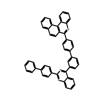 c1ccc(-c2ccc(-c3nc(-c4cccc(-c5ccc(-c6nc7ccccc7c7c6ccc6ccccc67)cc5)c4)c4ccccc4n3)cc2)cc1